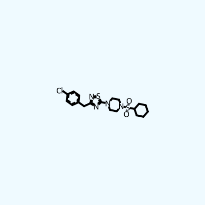 O=S(=O)(C1CCCCC1)N1CCN(c2nc(Cc3ccc(Cl)cc3)ns2)CC1